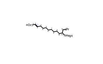 [CH2]CCCCCCC/C=C/CCCCCCCCC(CCCCCC[CH2])CC(C)C